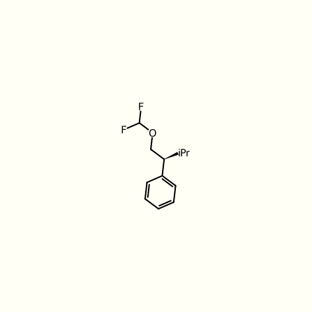 CC(C)[C@H](COC(F)F)c1ccccc1